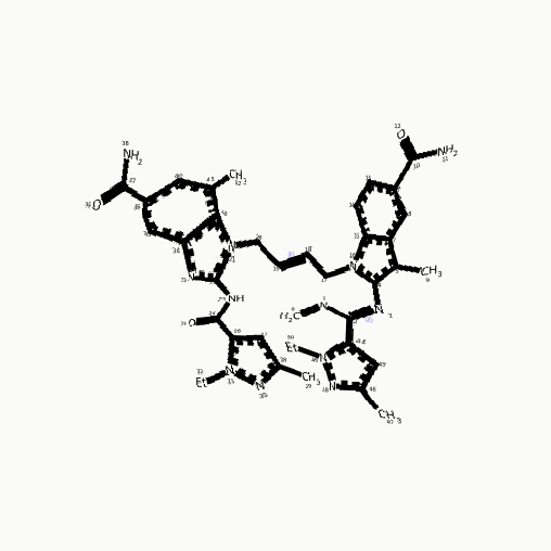 C=N/C(=N\c1c(C)c2cc(C(N)=O)ccc2n1C/C=C/Cn1c(NC(=O)c2cc(C)nn2CC)nc2cc(C(N)=O)cc(C)c21)c1cc(C)nn1CC